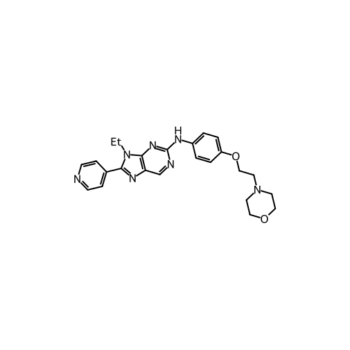 CCn1c(-c2ccncc2)nc2cnc(Nc3ccc(OCCN4CCOCC4)cc3)nc21